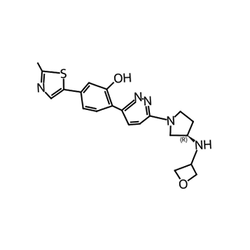 Cc1ncc(-c2ccc(-c3ccc(N4CC[C@@H](NC5COC5)C4)nn3)c(O)c2)s1